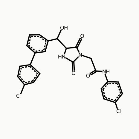 O=C(CN1C(=O)NC(C(O)c2cccc(-c3ccc(Cl)cc3)c2)C1=O)Nc1ccc(Cl)cc1